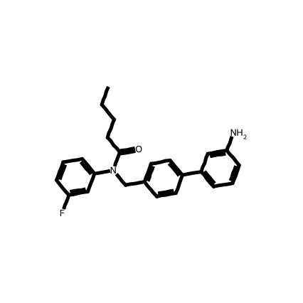 CCCCC(=O)N(Cc1ccc(-c2cccc(N)c2)cc1)c1cccc(F)c1